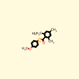 COc1ccc(PC(=O)c2c(C)cc(C)cc2C)cc1.[LiH]